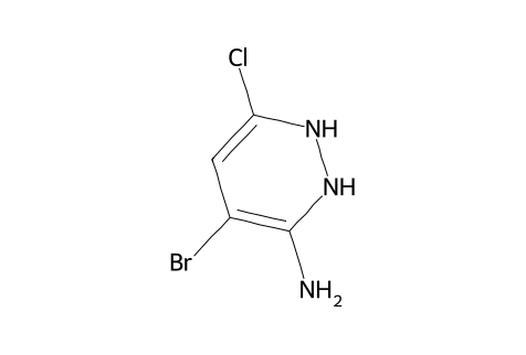 NC1=C(Br)C=C(Cl)NN1